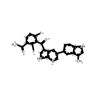 Cc1c[nH]c2ccc(-c3cnc4[nH]cc(C(=O)c5c(F)ccc(C(N)=O)c5F)c4c3)cc12